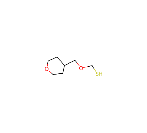 SCOCC1CCOCC1